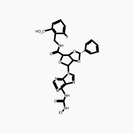 CCNC(=O)Nc1ncnc2c1ncn2C1OC(C(=O)NCc2c(F)cccc2C(=O)O)C2O[C@H](c3ccccc3)OC21